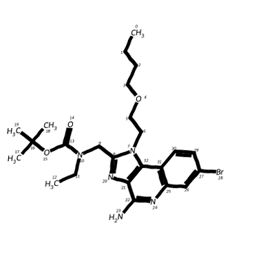 CCCCOCCn1c(CN(CC)C(=O)OC(C)(C)C)nc2c(N)nc3cc(Br)ccc3c21